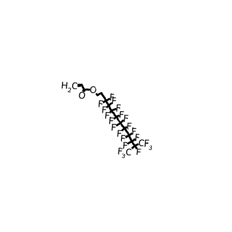 C=CC(=O)OCCC(F)(F)C(F)(F)C(F)(F)C(F)(F)C(F)(F)C(F)(F)C(F)(F)C(F)(F)C(F)(C(F)(F)F)C(F)(F)F